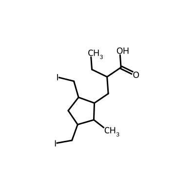 CCC(CC1C(CI)CC(CI)C1C)C(=O)O